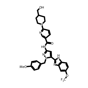 COc1ccc(Cn2nc(NC(=O)c3ccc(N4CCC(CO)CC4)nc3)cc2-c2nc3cc(OC(F)(F)F)ccc3[nH]2)cc1